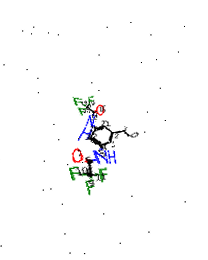 CCc1cc(NC(=O)C(F)(F)F)cc(NC(=O)C(F)(F)F)c1